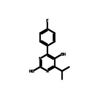 CC(C)c1nc(O)nc(-c2ccc(F)cc2)c1O